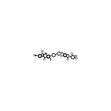 CCc1cc2c(cc1N1CCC(N3CCN(Cc4cc5c(cc4F)C(=O)N(C4CCC(=O)NC4=O)C5)CC3)CC1)C(C)(C)c1[nH]c3cc(C#N)ccc3c1C2=O